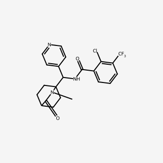 CN1C(=O)C2CCC1(C(NC(=O)c1cccc(C(F)(F)F)c1Cl)c1ccncc1)CC2